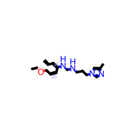 C=C/C=C(\C=C/COCC)NCNCCCn1cnc(C)c1